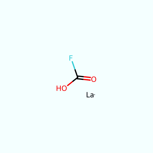 O=C(O)F.[La]